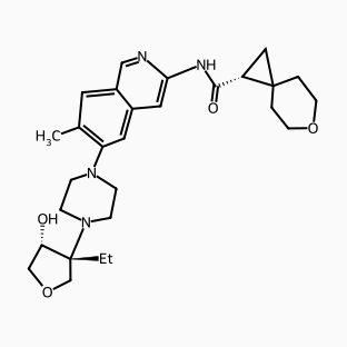 CC[C@@]1(N2CCN(c3cc4cc(NC(=O)[C@@H]5CC56CCOCC6)ncc4cc3C)CC2)COC[C@@H]1O